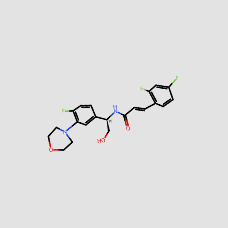 O=C(C=Cc1ccc(F)cc1F)N[C@@H](CO)c1ccc(F)c(N2CCOCC2)c1